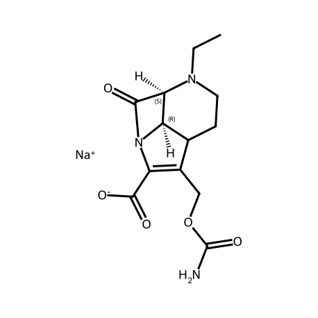 CCN1CCC2C(COC(N)=O)=C(C(=O)[O-])N3C(=O)[C@@H]1[C@@H]23.[Na+]